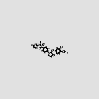 Cc1cc(OC2CCN(c3ccc(S(=O)(=O)Nc4nccs4)cc3)C2=O)ccc1Cl